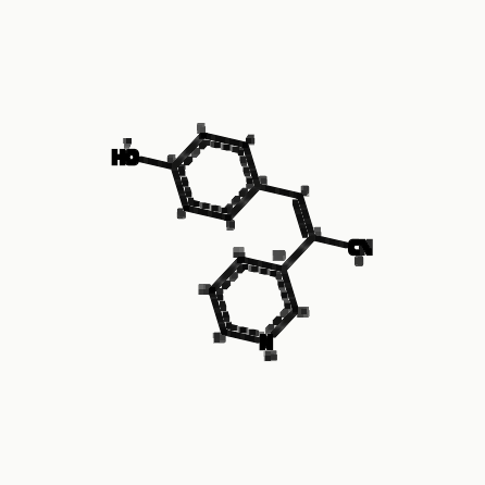 N#CC(=Cc1ccc(O)cc1)c1cccnc1